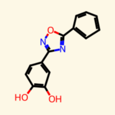 Oc1ccc(-c2noc(-c3ccccc3)n2)cc1O